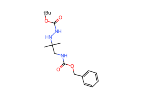 CC(C)(CNC(=O)OCc1ccccc1)NNC(=O)OC(C)(C)C